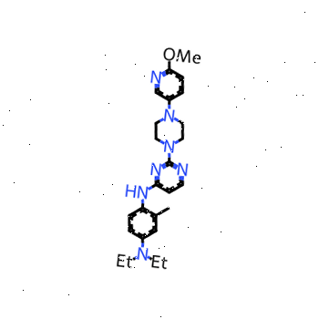 CCN(CC)c1ccc(Nc2ccnc(N3CCN(c4ccc(OC)nc4)CC3)n2)c(C)c1